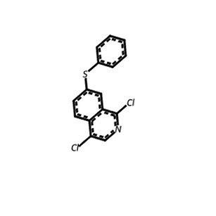 Clc1cnc(Cl)c2cc(Sc3ccccc3)ccc12